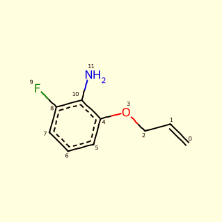 C=CCOc1cccc(F)c1N